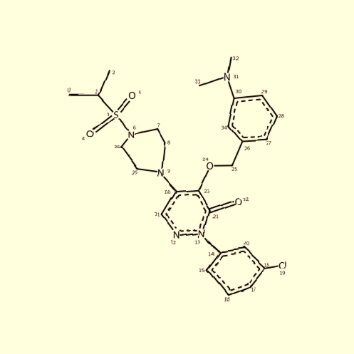 CC(C)S(=O)(=O)N1CCN(c2cnn(-c3cccc(Cl)c3)c(=O)c2OCc2cccc(N(C)C)c2)CC1